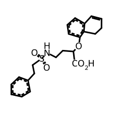 O=C(O)C(CCNS(=O)(=O)CCc1ccccc1)Oc1cccc2c1CCC=C2